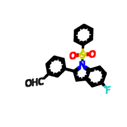 O=Cc1cccc(-c2cc3cc(F)ccc3n2S(=O)(=O)c2ccccc2)c1